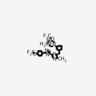 Cc1ncc(-c2nc(-c3ccc(OC(F)(F)F)cc3)no2)nc1Cc1cccc(N2CC[N+](C)(OC(=O)C(F)(F)F)CC2)c1